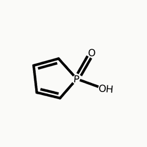 O=P1(O)C=CC=C1